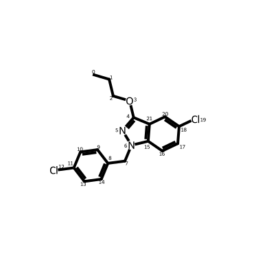 CCCOc1nn(Cc2ccc(Cl)cc2)c2ccc(Cl)cc12